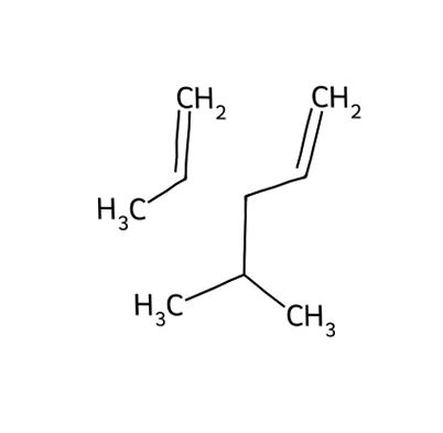 C=CC.C=CCC(C)C